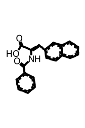 O=C(O)/C(=C/c1ccc2ccccc2c1)NC(=O)c1ccccc1